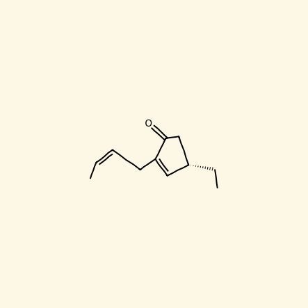 C/C=C\CC1=C[C@@H](CC)CC1=O